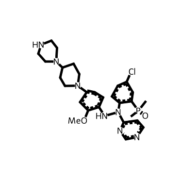 COc1cc(N2CCC(N3CCNCC3)CC2)ccc1NN(c1ccncn1)c1ccc(Cl)cc1P(C)(C)=O